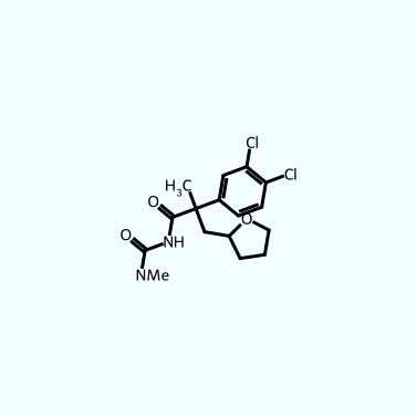 CNC(=O)NC(=O)C(C)(CC1CCCO1)c1ccc(Cl)c(Cl)c1